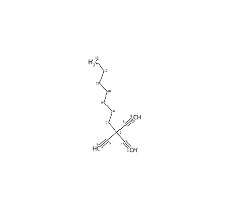 C#CC(C#C)(C#C)CCCCCCC